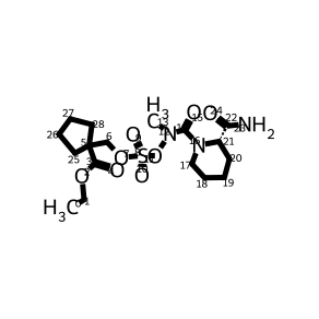 CCOC(=O)C1(COS(=O)(=O)ON(C)C(=O)N2CCCC[C@H]2C(N)=O)CCCC1